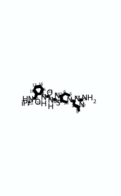 Cc1cc(N2CCc3nc(NC(=O)Nc4ccccc4C(=O)NC(C)C)sc3C2)nc(N)n1